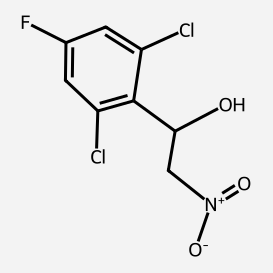 O=[N+]([O-])CC(O)c1c(Cl)cc(F)cc1Cl